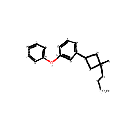 CCOC(=O)CCC1(C)CC(c2cccc(Oc3ccccc3)c2)C1